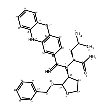 CC(C)C[C@@H](C(N)=O)N(C(=N)c1ccc2c(c1)Nc1ccccc1S2)[C@H]1CCOC1OCc1ccccc1